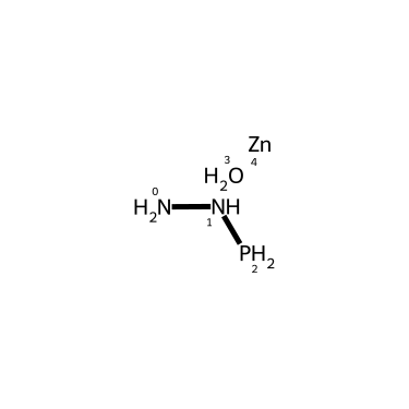 NNP.O.[Zn]